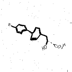 O=C(O)[C@H](O)Cc1ccc(-c2ccc(F)cc2)cc1